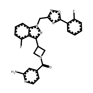 Nc1cc(C(=O)N2CC(c3nn(Cc4noc(-c5ccccc5F)n4)c4cccc(F)c34)C2)ccn1